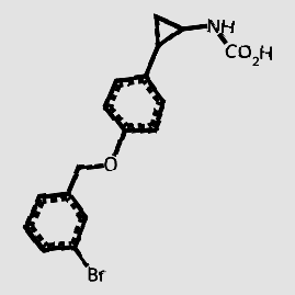 O=C(O)NC1CC1c1ccc(OCc2cccc(Br)c2)cc1